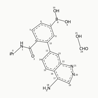 CC(C)NC(=O)c1ccc(B(O)O)cc1-c1ccc2c(N)cnnc2c1.O=CO